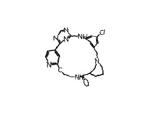 O=C1NCCCc2cc(ccn2)-c2ncnc(n2)Nc2cc(Cl)cc(c2)CN2CCCC1C2